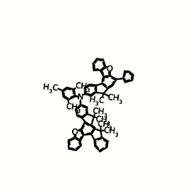 Cc1cc(C)c(N(c2ccc3c(c2)C(C)(C)c2cc(-c4ccccc4)c4oc5ccccc5c4c2-3)c2ccc3c(c2)C(C)(C)c2c4c(c5c(oc6ccccc65)c2-3)-c2ccccc2C4(C)C)c(C)c1